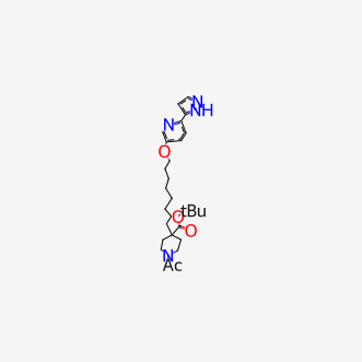 CC(=O)N1CCC(CCCCCCCCOc2ccc(-c3ccn[nH]3)nc2)(C(=O)OC(C)(C)C)CC1